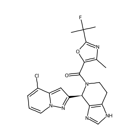 Cc1nc(C(C)(C)F)oc1C(=O)N1CCc2[nH]cnc2[C@H]1c1cc2c(Cl)cccn2n1